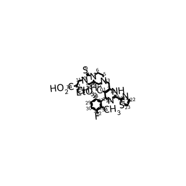 CCOC(=O)C1=C(CN2CCN3C(=S)N(CC(C)C(=O)O)C[C@@H]3C2)NC(c2nccs2)=N[C@H]1c1cccc(F)c1C